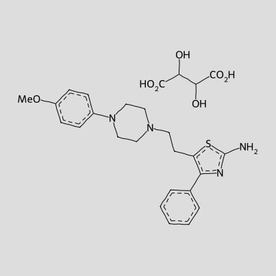 COc1ccc(N2CCN(CCc3sc(N)nc3-c3ccccc3)CC2)cc1.O=C(O)C(O)C(O)C(=O)O